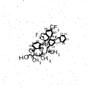 CC(CO)N1C[C@@H](C)[C@@H](CN(C)Cc2ccc(Sc3ccccc3)cc2)Oc2c(NC(=O)Cc3ccc(C(F)(F)F)cc3C(F)(F)F)cccc2C1=O